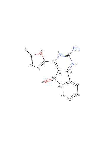 Cc1ccc(-c2nc(N)nc3c2C(=O)c2ccccc2-3)o1